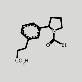 CCC(=O)N1CCCC1c1cccc(CCC(=O)O)c1